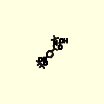 CC(CN(C(=O)O)C(C)(C)C)c1ccc(B2OC(C)(C)C(C)(C)O2)cc1